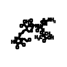 CC(C)(O/N=C(\C(=O)NC1C(=O)N2C(C(=O)O)=C(/C=C/Sc3n[nH]c(=O)c(=O)n3CC=O)CSC12)c1csc(N)n1)C(=O)O